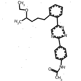 CCOC(C)CCCc1ccccc1-c1cnc(-c2ccc(NC(C)=O)cc2)nn1